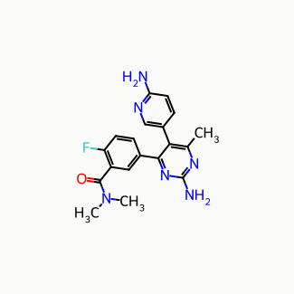 Cc1nc(N)nc(-c2ccc(F)c(C(=O)N(C)C)c2)c1-c1ccc(N)nc1